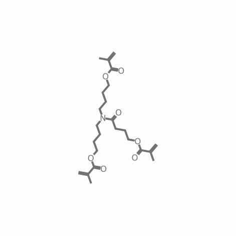 C=C(C)C(=O)OCCCCN(CCCCOC(=O)C(=C)C)C(=O)CCCOC(=O)C(=C)C